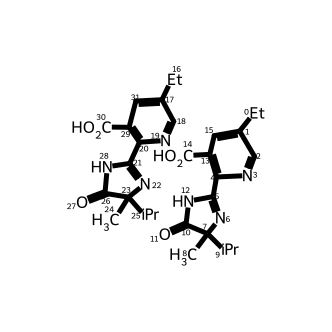 CCc1cnc(C2=NC(C)(C(C)C)C(=O)N2)c(C(=O)O)c1.CCc1cnc(C2=NC(C)(C(C)C)C(=O)N2)c(C(=O)O)c1